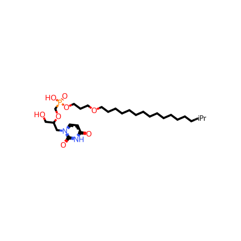 CC(C)CCCCCCCCCCCCCCOCCCOP(=O)(O)COC(CO)Cn1ccc(=O)[nH]c1=O